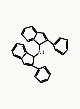 C1=C(c2ccccc2)[CH]([Nd][CH]2C(c3ccccc3)=Cc3ccccc32)c2ccccc21